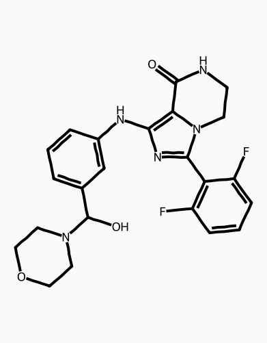 O=C1NCCn2c(-c3c(F)cccc3F)nc(Nc3cccc(C(O)N4CCOCC4)c3)c21